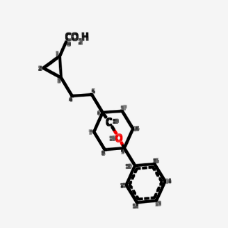 O=C(O)C1CC1CCC12CCC(c3ccccc3)(CC1)OC2